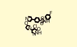 O=c1[nH]ncc(N2CC[C@@H](Oc3cc(-c4ccc(S(=O)(=O)Nc5ccc(F)cc5)cc4)ccn3)C2)c1Cl